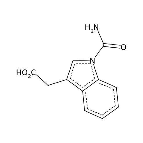 NC(=O)n1cc(CC(=O)O)c2ccccc21